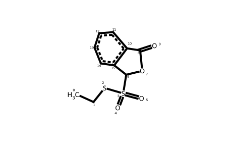 CCSS(=O)(=O)C1OC(=O)c2ccccc21